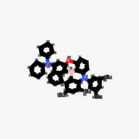 CC(C)(C)c1cc(N2c3cccc4c3B(c3cc(C(C)(C)C)cc(C(C)(C)C)c32)c2c(cc(N(c3ccccc3)c3ccccc3)c3ccccc23)O4)cc(C(C)(C)C)c1